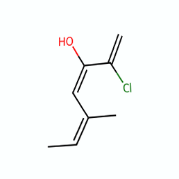 C=C(Cl)/C(O)=C\C(C)=C/C